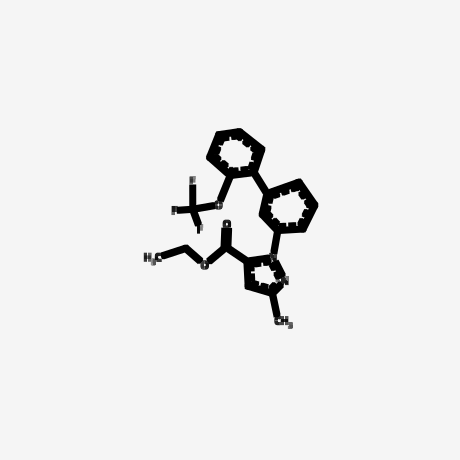 CCOC(=O)c1cc(C)nn1-c1cccc(-c2ccccc2OC(F)(F)F)c1